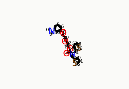 CN(C)c1cccc(OCCOCCOC(=O)N(Cc2cccs2)Cc2cccs2)c1